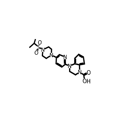 CC(C)S(=O)(=O)N1CCN(c2ccc(N3CCN(C(=O)O)c4ccccc43)nc2)CC1